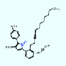 CCCCCCCCCCCCCCCCCC#CCCc1ccccc1C1=CC(CCCC)=C(c2ccc(CCCC)cc2)[N+]1=[N-].CC[CH2][Ni][CH2]CC